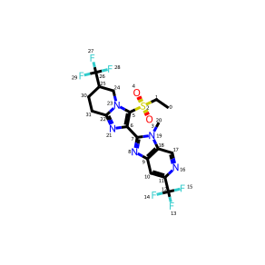 CCS(=O)(=O)c1c(-c2nc3cc(C(F)(F)F)ncc3n2C)nc2n1CC(C(F)(F)F)CC2